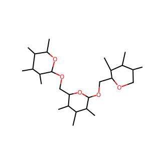 CC1COC(COC2OC(COC3OC(C)C(C)C(C)C3C)C(C)C(C)C2C)C(C)C1C